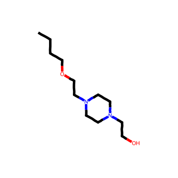 CCCCOCCN1CCN(CCO)CC1